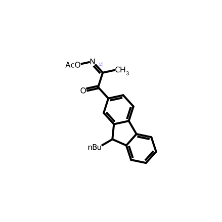 CCCCC1c2ccccc2-c2ccc(C(=O)/C(C)=N\OC(C)=O)cc21